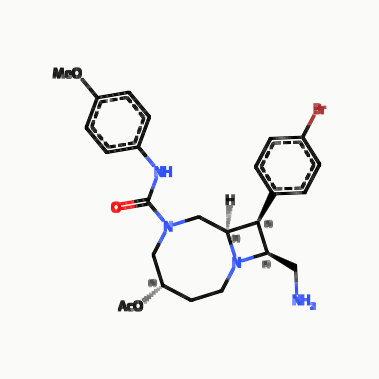 COc1ccc(NC(=O)N2C[C@@H](OC(C)=O)CCN3[C@H](CN)[C@H](c4ccc(Br)cc4)[C@@H]3C2)cc1